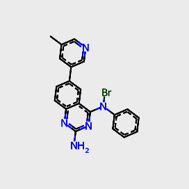 Cc1cncc(-c2ccc3nc(N)nc(N(Br)c4ccccc4)c3c2)c1